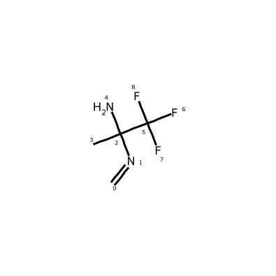 C=NC(C)(N)C(F)(F)F